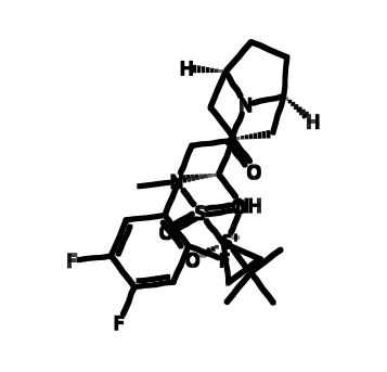 CN(CC(=O)N1[C@@H]2CC[C@H]1C[C@H]([C@@H](Cc1cc(F)c(F)cc1F)N[S@@+]([O-])C(C)(C)C)C2)S(=O)(=O)C1CC1